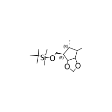 CC1C2OCOC2[C@@H](CO[Si](C)(C)C(C)(C)C)[C@@H]1C